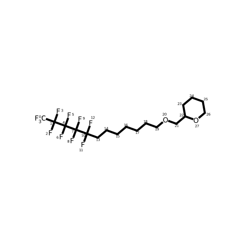 FC(F)(F)C(F)(F)C(F)(F)C(F)(F)C(F)(F)CCCCCCCOCC1CCCCO1